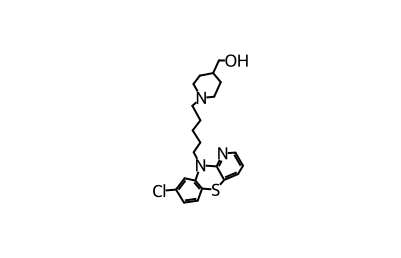 OCC1CCN(CCCCCN2c3cc(Cl)ccc3Sc3cccnc32)CC1